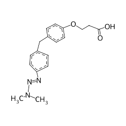 CN(C)N=Nc1ccc(Cc2ccc(OCCC(=O)O)cc2)cc1